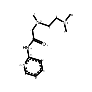 CN(C)CCN(C)CC(=O)Nc1ccccn1